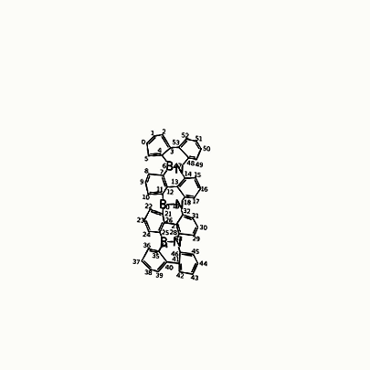 c1ccc2c(c1)B1c3cccc4c3-c3c(cccc3N3B4c4cccc5c4-c4c(cccc43)N3B5c4ccccc4-c4ccccc43)N1c1ccccc1-2